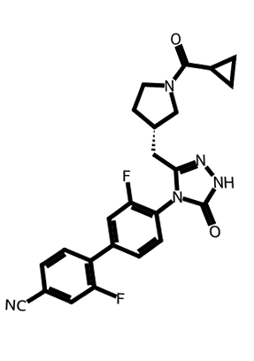 N#Cc1ccc(-c2ccc(-n3c(C[C@@H]4CCN(C(=O)C5CC5)C4)n[nH]c3=O)c(F)c2)c(F)c1